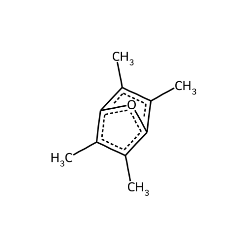 Cc1c(C)c2oc1c(C)c2C